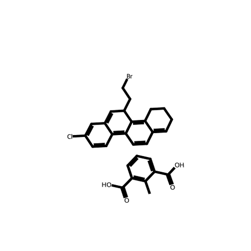 Cc1c(C(=O)O)cccc1C(=O)O.Clc1ccc2c(c1)=CC(CCBr)c1c3c(ccc1=2)=CCCC3